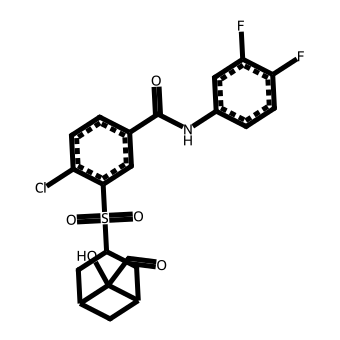 O=CC1(O)C2CC1CC(S(=O)(=O)c1cc(C(=O)Nc3ccc(F)c(F)c3)ccc1Cl)C2